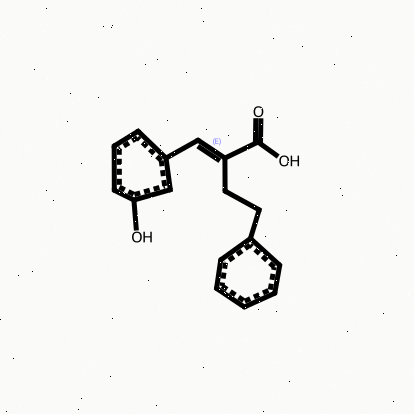 O=C(O)/C(=C/c1cccc(O)c1)CCc1ccccc1